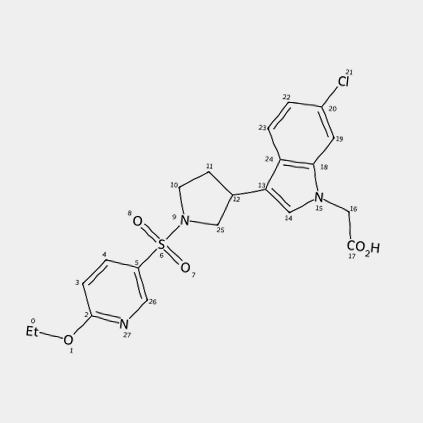 CCOc1ccc(S(=O)(=O)N2CCC(c3cn(CC(=O)O)c4cc(Cl)ccc34)C2)cn1